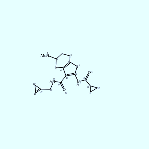 CNC1CCc2sc(NC(=O)C3CC3)c(C(=O)NCC3=CC3)c2C1